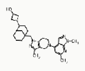 Cc1cc(N2CCc3c(c(C)nn3CC34CCCC(C3)C(N3CC(O)C3)CC4)C2)c2cnn(C)c2n1